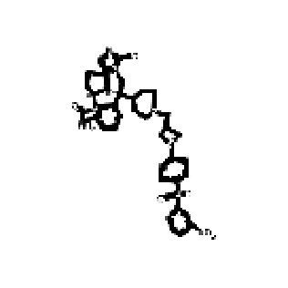 CCc1nccn1CC(c1cccc(F)c1)(C1CCN(CC2CN(c3ccc(S(=O)(=O)c4cccc([N+](=O)[O-])c4)cc3)C2)CC1)[C@H]1CCC[C@@H]1OC(N)=O